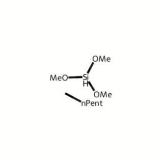 CCCCCC.CO[SiH](OC)OC